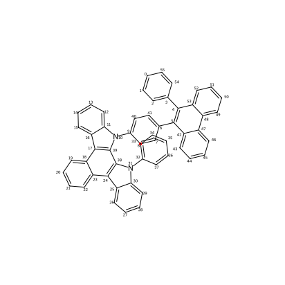 c1ccc(-c2c(-c3ccc(-n4c5ccccc5c5c6ccccc6c6c7ccccc7n(-c7ccccc7)c6c54)cc3)c3ccccc3c3ccccc23)cc1